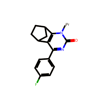 CC(C)n1c2c(c(-c3ccc(F)cc3)nc1=O)C1CCC2C1